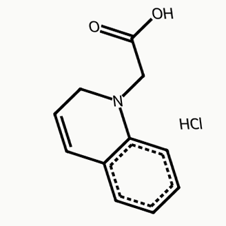 Cl.O=C(O)CN1CC=Cc2ccccc21